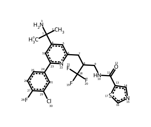 CC(C)(N)c1cc(CC(CNC(=O)c2cncs2)C(F)(F)F)nc(-c2ccc(F)c(Cl)c2)c1